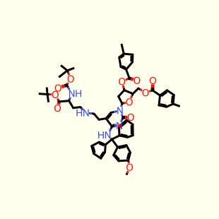 COc1ccc(C(Nc2nc(=O)n(C3CC(OC(=O)c4ccc(C)cc4)C(COC(=O)c4ccc(C)cc4)O3)cc2CCNCCC(NC(=O)OC(C)(C)C)C(=O)OC(C)(C)C)(c2ccccc2)c2ccccc2)cc1